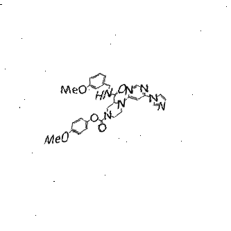 COc1ccc(OC(=O)N2CCN(c3cc(-n4ccnc4)ncn3)C(C(=O)NCc3cccc(OC)c3)C2)cc1